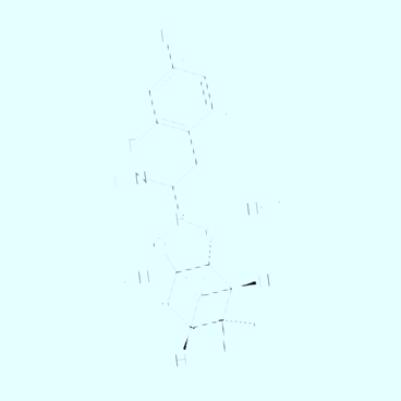 CC1(C)[C@@H]2C[C@H]3OB(C(N)Cc4ccc(F)cc4F)O[C@@]3(C)[C@H]1C2.Cl